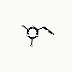 [N-]=[N+]=Cc1nc(Cl)nc(Cl)n1